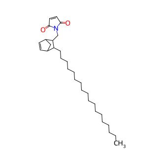 CCCCCCCCCCCCCCCCCCC1C2C=CC(C2)C1CN1C(=O)C=CC1=O